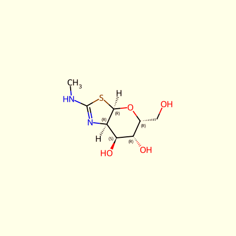 CNC1=N[C@@H]2[C@H](O)[C@@H](O)[C@@H](CO)O[C@@H]2S1